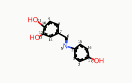 Oc1ccc(N=Cc2ccc(O)c(O)c2)cc1